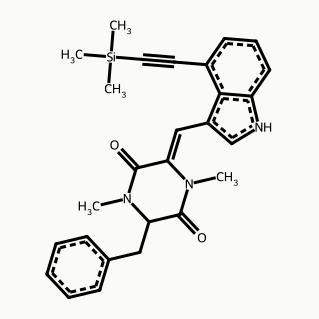 CN1C(=O)C(Cc2ccccc2)N(C)C(=O)C1=Cc1c[nH]c2cccc(C#C[Si](C)(C)C)c12